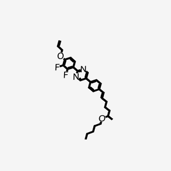 C=CCOc1ccc(-c2ncc(-c3ccc(C=CCCCC(C)OCCCCC)cc3)cn2)c(F)c1F